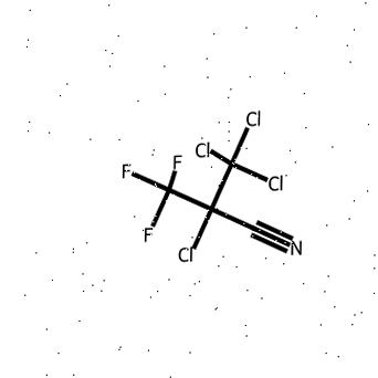 N#CC(Cl)(C(F)(F)F)C(Cl)(Cl)Cl